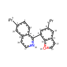 CC(C)c1ccc2c(-c3cc(C(C)C)cc4ccoc34)nccc2c1